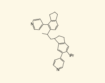 CC(C)c1cc2c(cc1-c1ccncc1)C(CC(C)c1ccc3c(c1-c1ccncc1)CCC3)CC2